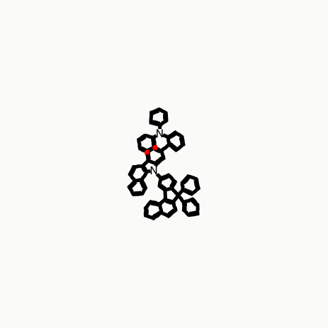 c1ccc(N(c2ccccc2)c2ccccc2-c2ccc3c4ccc5ccccc5c4n(-c4ccc5c(c4)-c4c(ccc6ccccc46)C5(c4ccccc4)c4ccccc4)c3c2)cc1